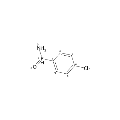 N[PH](=O)c1ccc(Cl)cc1